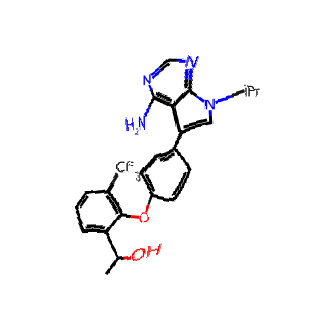 CC(O)c1cccc(C(F)(F)F)c1Oc1ccc(-c2cn(C(C)C)c3ncnc(N)c23)cc1